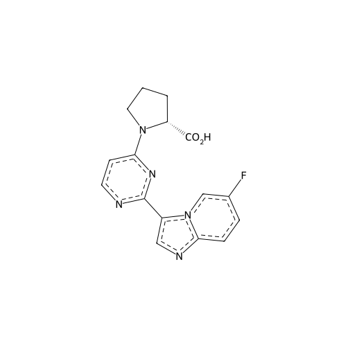 O=C(O)[C@H]1CCCN1c1ccnc(-c2cnc3ccc(F)cn23)n1